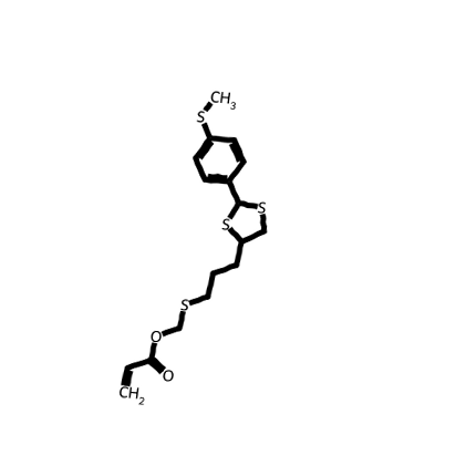 C=CC(=O)OCSCCCC1CSC(c2ccc(SC)cc2)S1